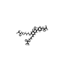 C=C(C)C(=O)COCCCCc1cc2oc(=O)c(-c3ccc(OC(=O)C(=C)C)cc3)cc2cc1CCCCOC(=O)C(=C)C